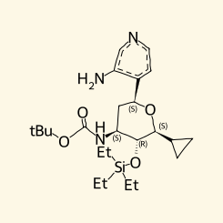 CC[Si](CC)(CC)O[C@@H]1[C@@H](NC(=O)OC(C)(C)C)C[C@@H](c2ccncc2N)O[C@H]1C1CC1